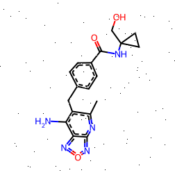 Cc1nc2nonc2c(N)c1Cc1ccc(C(=O)NC2(CO)CC2)cc1